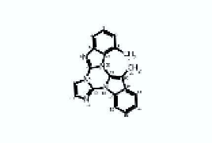 Cc1cccc2nc3n4ccnc4n4c5ccccc5c(C)c4n3c12